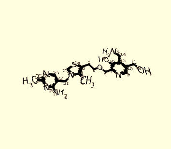 CC1=C(CCOCc2ncc(CO)c(CN)c2O)SCN1Cc1cnc(C)nc1N